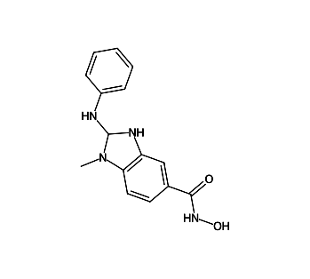 CN1c2ccc(C(=O)NO)cc2NC1Nc1ccccc1